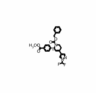 COC(=O)c1ccc([C@@H]2C=C(c3cnn(C(F)F)c3)CCN2C(=O)OCc2ccccc2)cc1